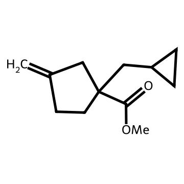 C=C1CCC(CC2CC2)(C(=O)OC)C1